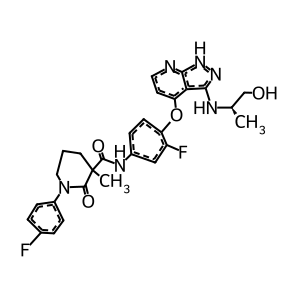 C[C@H](CO)Nc1n[nH]c2nccc(Oc3ccc(NC(=O)C4(C)CCCN(c5ccc(F)cc5)C4=O)cc3F)c12